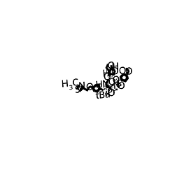 Cc1nc(COc2ccc(C[C@H](NC(=O)O[C@H]3CO[C@H]4OCC[C@H]43)[C@@H](CN(CC(C)C)S(=O)(=O)c3ccc4c(c3)OCO4)OC(C)(C)C)cc2)cs1